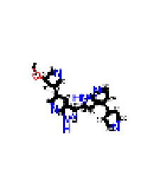 COc1cncc(-c2cnc3[nH]nc(-c4cc5c(-c6ccncc6)ccnc5[nH]4)c3c2)c1